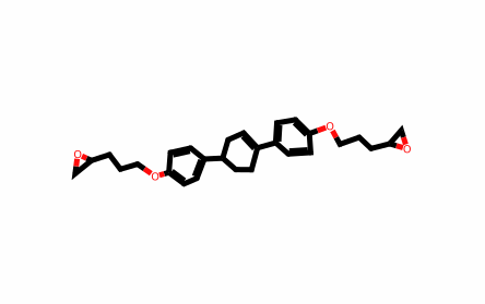 C1=C(c2ccc(OCCCC3CO3)cc2)CCC(c2ccc(OCCCC3CO3)cc2)C1